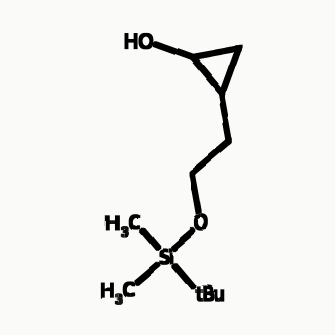 CC(C)(C)[Si](C)(C)OCCC1CC1O